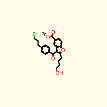 CC(C)OC(=O)c1ccc2oc(CCCCO)c(C(=O)c3ccc(CCCBr)cc3)c2c1